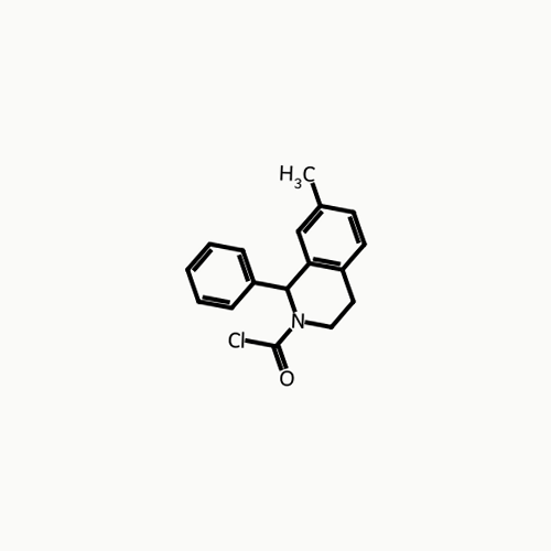 Cc1ccc2c(c1)C(c1ccccc1)N(C(=O)Cl)CC2